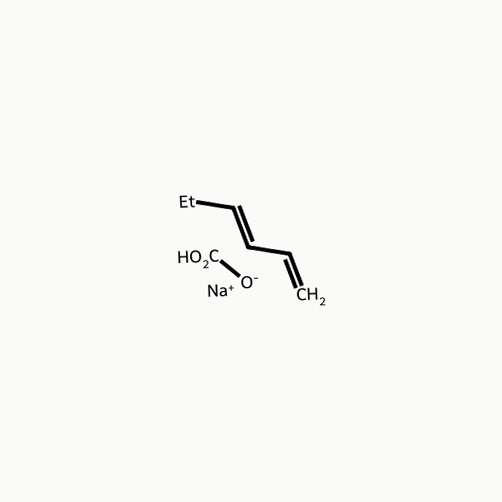 C=CC=CCC.O=C([O-])O.[Na+]